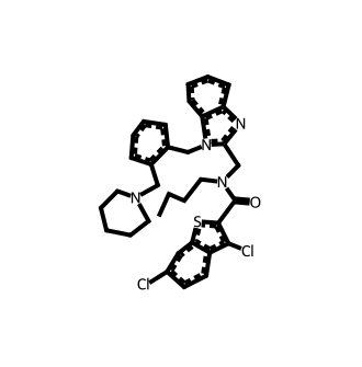 CCCCN(Cc1nc2ccccc2n1Cc1ccccc1CN1CCCCC1)C(=O)c1sc2cc(Cl)ccc2c1Cl